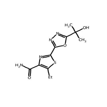 CCc1sc(-c2nnc(C(C)(C)O)o2)nc1C(N)=O